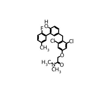 Cc1ccc(F)c(-c2cc(Cc3c(Cl)cc(OCC(=O)N(C)C)cc3Cl)ccc2O)c1